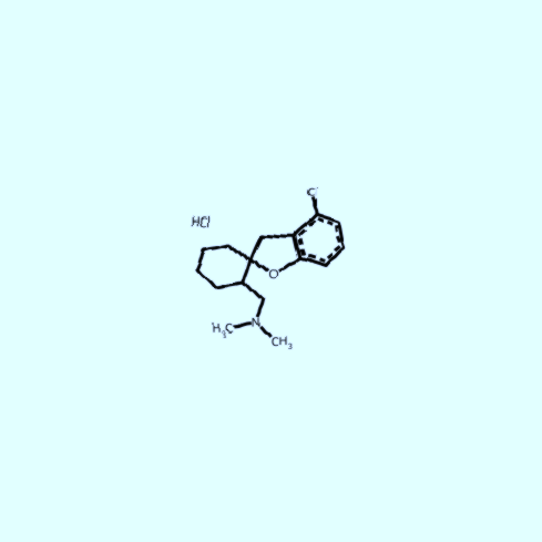 CN(C)CC1CCCCC12Cc1c(Cl)cccc1O2.Cl